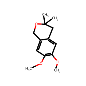 COc1cc2c(cc1OC)CC(C)(C)OC2